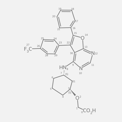 O=C(O)CO[C@H]1CCC[C@H](Nc2ncnc3oc(-c4ccccc4)c(-c4ccc(C(F)(F)F)cc4)c23)C1